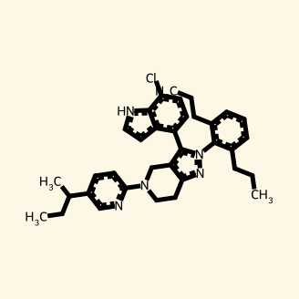 CCCc1cccc(CCC)c1-n1nc2c(c1-c1ccc(Cl)c3[nH]ccc13)CN(c1ccc(C(C)CC)cn1)CC2